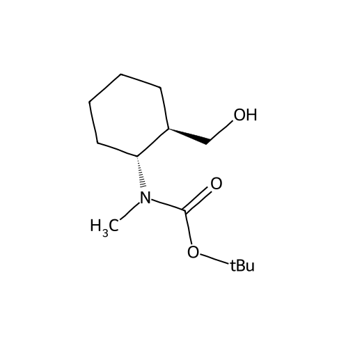 CN(C(=O)OC(C)(C)C)[C@@H]1CCCC[C@H]1CO